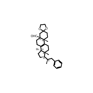 C[C@H](Cc1ccccc1)[C@H]1CC[C@H]2C3=C(CC[C@]12C)[C@@]1(C)CCC2(C[C@@]1(C=O)CC3)OCCO2